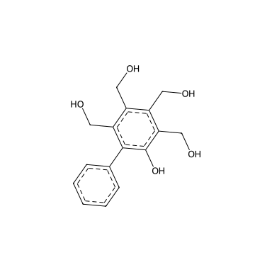 OCc1c(O)c(-c2ccccc2)c(CO)c(CO)c1CO